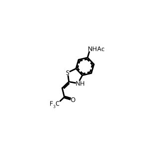 CC(=O)Nc1ccc2c(c1)S/C(=C/C(=O)C(F)(F)F)N2